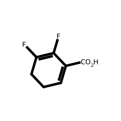 O=C(O)C1=CCCC(F)=C1F